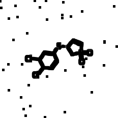 O=S1(=O)C=C[C@@H](SC2=CC(Cl)C(Cl)C=C2)C1